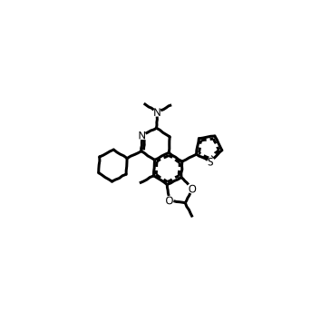 Cc1c2c(c(-c3cccs3)c3c1C(C1CCCCC1)=NC(N(C)C)C3)OC(C)O2